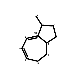 CC1[C]CC2CCC=CC=C12